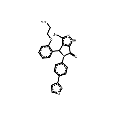 COCCOc1ccccc1C1c2c(C(C)(C)C)n[nH]c2C(=O)N1c1ccc(-c2ccon2)cc1